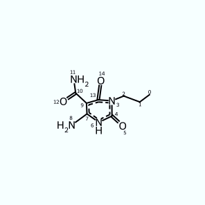 CCCn1c(=O)[nH]c(N)c(C(N)=O)c1=O